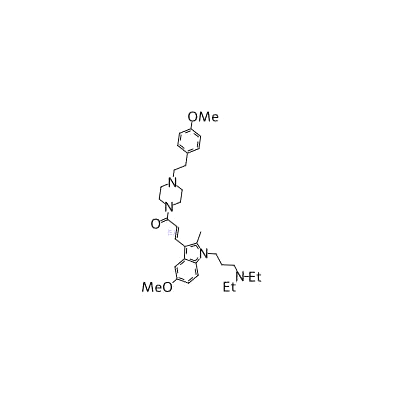 CCN(CC)CCCn1c(C)c(/C=C/C(=O)N2CCN(CCc3ccc(OC)cc3)CC2)c2cc(OC)ccc21